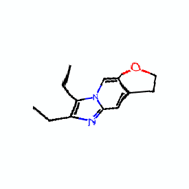 CCc1nc2cc3c(cn2c1CC)OCC3